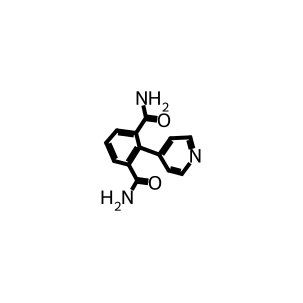 NC(=O)c1cccc(C(N)=O)c1-c1ccncc1